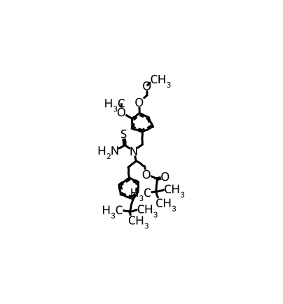 COCOc1ccc(CN(C(N)=S)C(COC(=O)C(C)(C)C)Cc2ccc(C(C)(C)C)cc2)cc1OC